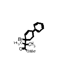 COC(=O)C(C)(C)C1(Br)C=CC(c2ccccc2)=CC1